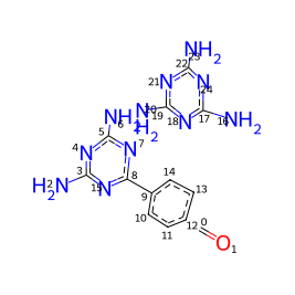 C=O.Nc1nc(N)nc(-c2ccccc2)n1.Nc1nc(N)nc(N)n1